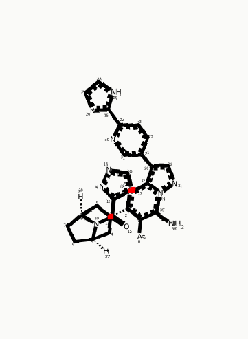 CC(=O)c1c([C@@H]2C[C@H]3CC[C@@H](C2)N3C(=O)c2nnc[nH]2)nc2c(-c3ccc(-c4ncc[nH]4)nc3)cnn2c1N